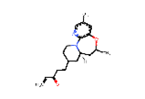 C=CC(=O)CCC1CCN2c3ncc(C(F)(F)F)cc3OC(C)C[C@H]2C1